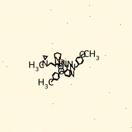 COc1ccc(Cn2nc(NC[C@@H]3CCCCN3C(=O)/C=C/CN(C)C3CC3)c3c(Oc4ccc(C)cc4)ccnc32)cc1